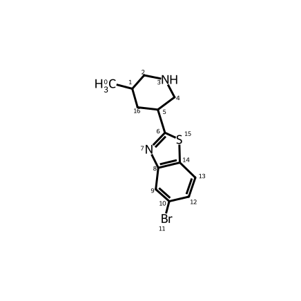 CC1CNCC(c2nc3cc(Br)ccc3s2)C1